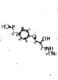 CC(C)(C)NC[C@H](O)COc1ccc(CCO)cc1